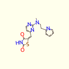 CN(CCc1ccccn1)c1nccc(/C=C2/SC(=O)NC2=O)n1